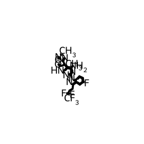 Cc1noc(C2(C)C(=O)Nc3nc(-n4nc(CCC(F)(F)C(F)(F)F)c5cc(F)ccc54)nc(N)c32)n1